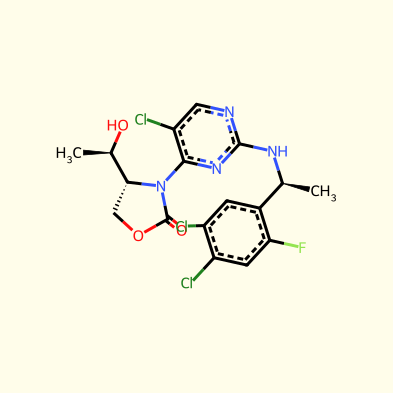 C[C@H](Nc1ncc(Cl)c(N2C(=O)OC[C@@H]2[C@@H](C)O)n1)c1cc(Cl)c(Cl)cc1F